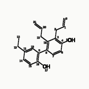 C=CCc1c(O)ccc(-c2cc(CC)ccc2O)c1CC=C